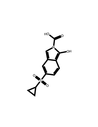 O=C(O)n1cc2cc(S(=O)(=O)C3CC3)ccc2c1O